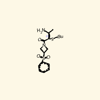 CCC(C)S/C(C(=O)N1CC(S(=O)(=O)c2ccccc2)C1)=C(\C)N